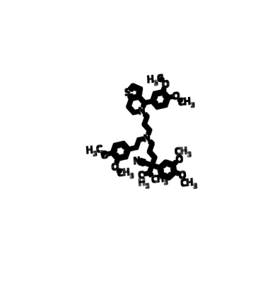 COc1ccc(CCN(CCCN2CCc3sccc3C2c2ccc(OC)c(OC)c2)CCCC(C#N)(c2ccc(OC)c(OC)c2)C(C)C)cc1OC